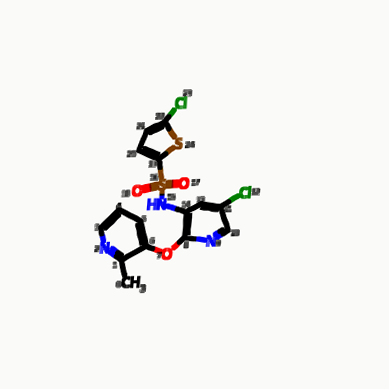 Cc1ncccc1Oc1ncc(Cl)cc1NS(=O)(=O)c1ccc(Cl)s1